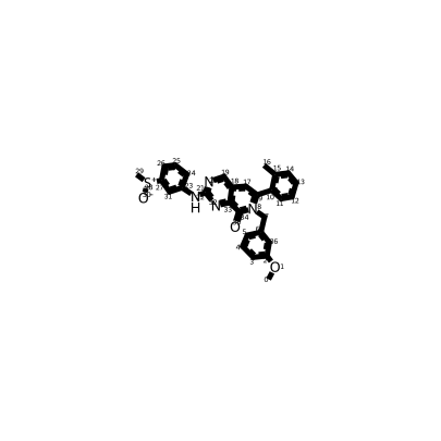 COc1cccc(Cn2c(-c3ccccc3C)cc3cnc(Nc4cccc([S+](C)[O-])c4)nc3c2=O)c1